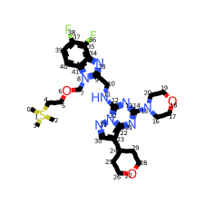 CS(C)(C)CCOCn1c(CNc2nc(N3CCOCC3)nc3c(C4CCOCC4)cnn23)nc2c(F)c(F)ccc21